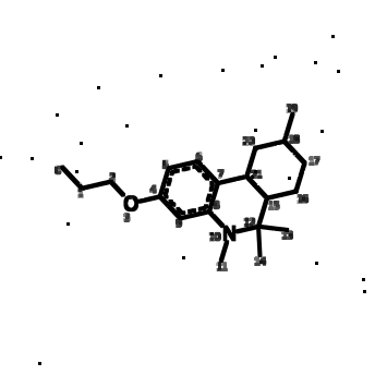 CCCOc1ccc2c(c1)N(C)C(C)(C)C1CCC(C)CC21